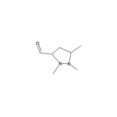 CC1CC(C=O)N(C)N1C